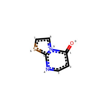 O=c1c[c]nc2sccn12